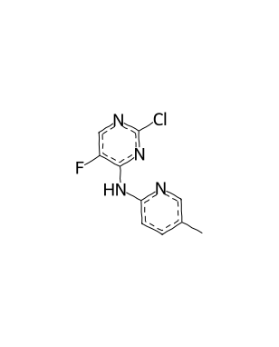 Cc1ccc(Nc2nc(Cl)ncc2F)nc1